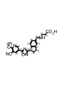 CC(C)Oc1ncc(-c2nc(N3CCc4cc(CNCCC(=O)O)ccc43)no2)cc1C#N